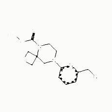 CC(C)(C)OC(=O)N1CCN(c2cccc(CN)n2)CC12COC2